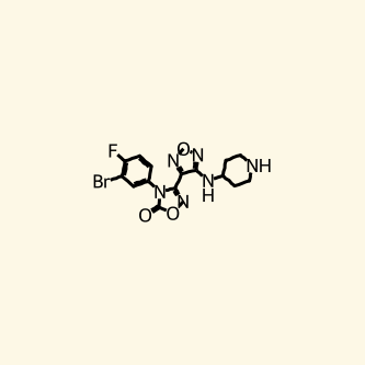 O=c1onc(-c2nonc2NC2CCNCC2)n1-c1ccc(F)c(Br)c1